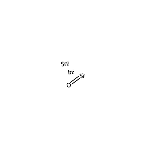 O=[Si].[In].[Sn]